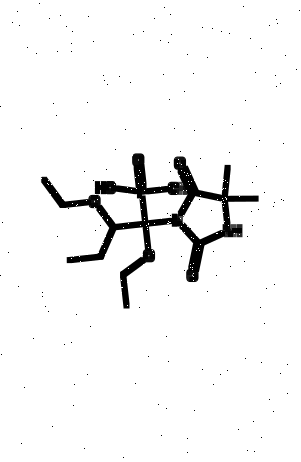 CCOC(CC)C(OCC)(N1C(=O)NC(C)(C)C1=O)P(=O)(O)O